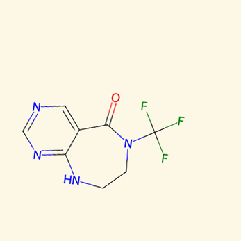 O=C1c2cncnc2NCCN1C(F)(F)F